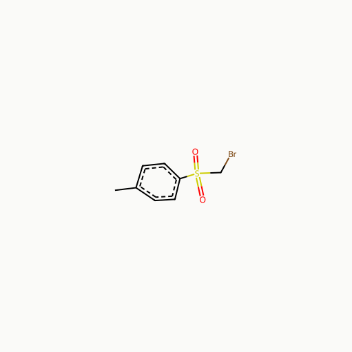 Cc1ccc(S(=O)(=O)CBr)cc1